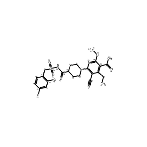 CCc1c(C#N)c(N2CCC(C(=O)NS(=O)(=O)Cc3ccc(F)cc3Cl)CC2)nc(OC)c1C(=O)O